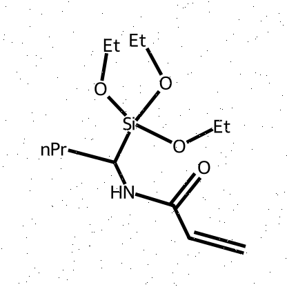 C=CC(=O)NC(CCC)[Si](OCC)(OCC)OCC